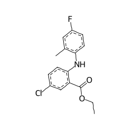 CCOC(=O)c1cc(Cl)ccc1Nc1ccc(F)cc1C